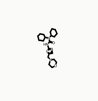 O=C(Nc1ncc(CN2CCOCC2)s1)N(C1CCCCC1)C1CCCCC1